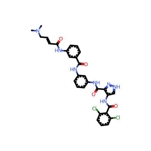 CN(C)CC=CC(=O)Nc1cccc(C(=O)Nc2cccc(NC(=O)c3n[nH]cc3NC(=O)c3c(Cl)cccc3Cl)c2)c1